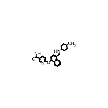 C[C@H]1CC[C@H](NCc2ccc(Oc3ccc(C(N)=O)cn3)c3ccccc23)CC1